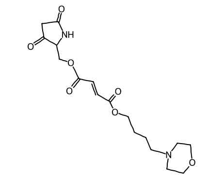 O=C1CC(=O)C(COC(=O)/C=C/C(=O)OCCCCN2CCOCC2)N1